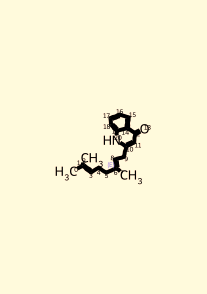 CC(C)=CCC/C(C)=C/Cc1cc(=O)c2ccccc2[nH]1